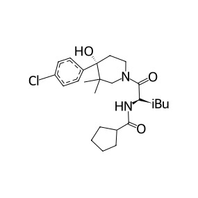 CC[C@H](C)[C@@H](NC(=O)C1CCCC1)C(=O)N1CC[C@](O)(c2ccc(Cl)cc2)C(C)(C)C1